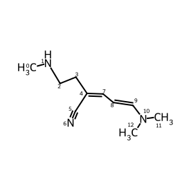 CNCCC(C#N)=CC=CN(C)C